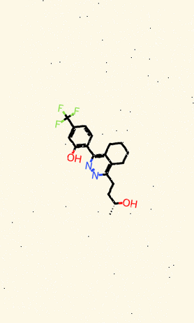 C[C@@H](O)CCc1nnc(-c2ccc(C(F)(F)F)cc2O)c2c1CCCC2